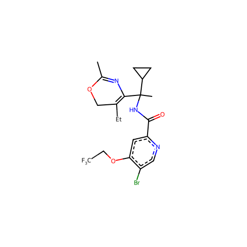 CCC1=C(C(C)(NC(=O)c2cc(OCC(F)(F)F)c(Br)cn2)C2CC2)N=C(C)OC1